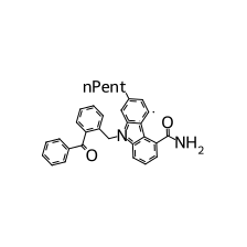 CCCCCc1c[c]c2c3c(C(N)=O)cccc3n(Cc3ccccc3C(=O)c3ccccc3)c2c1